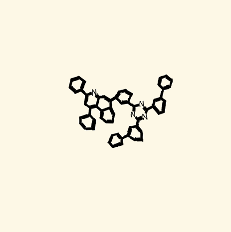 c1ccc(-c2cccc(-c3nc(-c4cccc(-c5ccccc5)c4)nc(-c4cccc(-c5cc6nc(-c7ccccc7)cc(-c7ccccc7)c6c6ccccc56)c4)n3)c2)cc1